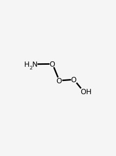 NOOOO